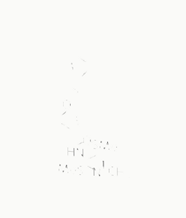 CSc1cc(C)nc(SC)c1NC(=O)Cc1ccc(OCSCc2ccccc2)cc1